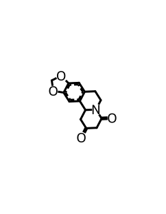 O=C1CC(=O)N2CCc3cc4c(cc3C2C1)OCO4